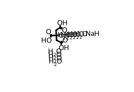 O.O.O.O.O.O.O.O.O.O.O=C(O)CC(O)(CC(=O)O)C(=O)O.[NaH]